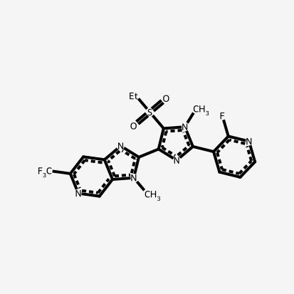 CCS(=O)(=O)c1c(-c2nc3cc(C(F)(F)F)ncc3n2C)nc(-c2cccnc2F)n1C